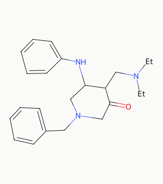 CCN(CC)CC1C(=O)CN(Cc2ccccc2)CC1Nc1ccccc1